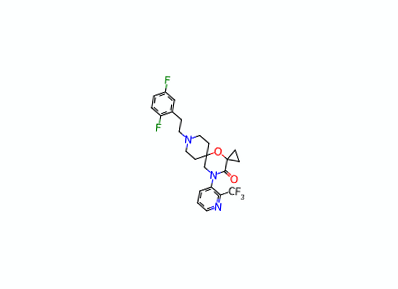 O=C1N(c2cccnc2C(F)(F)F)CC2(CCN(CCc3cc(F)ccc3F)CC2)OC12CC2